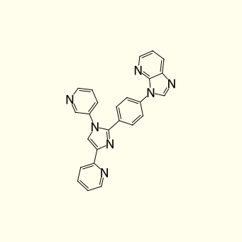 c1ccc(-c2cn(-c3cccnc3)c(-c3ccc(-n4cnc5cccnc54)cc3)n2)nc1